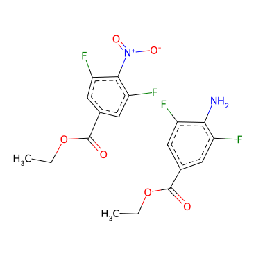 CCOC(=O)c1cc(F)c(N)c(F)c1.CCOC(=O)c1cc(F)c([N+](=O)[O-])c(F)c1